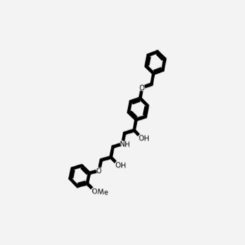 COc1ccccc1OCC(O)CNCC(O)c1ccc(OCc2ccccc2)cc1